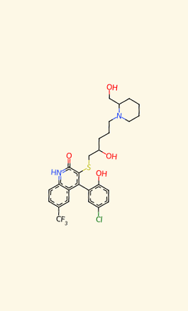 O=c1[nH]c2ccc(C(F)(F)F)cc2c(-c2cc(Cl)ccc2O)c1SCC(O)CCCN1CCCCC1CO